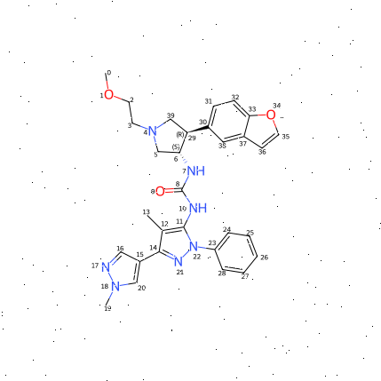 COCCN1C[C@@H](NC(=O)Nc2c(C)c(-c3cnn(C)c3)nn2-c2ccccc2)[C@H](c2ccc3occc3c2)C1